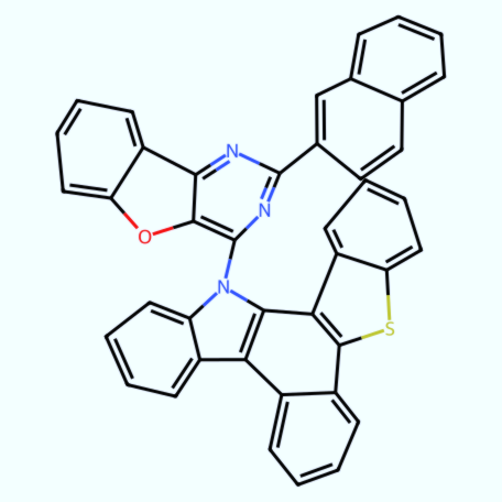 c1ccc2cc(-c3nc(-n4c5ccccc5c5c6ccccc6c6sc7ccccc7c6c54)c4oc5ccccc5c4n3)ccc2c1